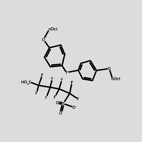 CCCCCCCCOc1ccc([I+]c2ccc(OCCCCCCCC)cc2)cc1.O=S(=O)([O-])C(F)(F)C(F)(F)C(F)(F)C(F)(F)S(=O)(=O)O